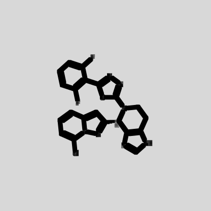 Fc1cccc(F)c1-c1nnc(N2CCc3[nH]cnc3[C@@H]2c2cc3cccc(Cl)n3n2)o1